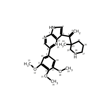 C=C(c1c[nH]c2ncc(-c3cc(OC)c(OC)c(OC)c3)nc12)C1(C)CCCNC1